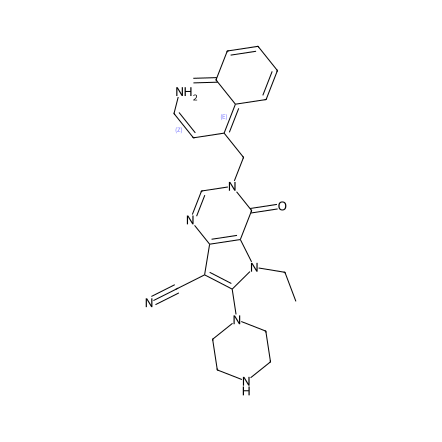 C=c1cccc/c1=C(/C=C\N)Cn1cnc2c(C#N)c(N3CCNCC3)n(CC)c2c1=O